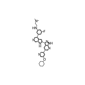 CN(C)CCNc1cc(F)cc(-c2cncc3[nH]c(-c4n[nH]c5ncc(-c6cncc(OC7CCCCC7)c6)cc45)cc23)c1